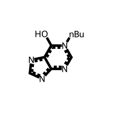 CCCCn1cnc2ncnc-2c1O